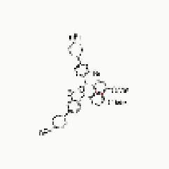 CCCC1CCC(c2ccc(C(OC(c3ccc(OC)cc3)c3ccc([C@H]4CC[C@H](CCC)CC4)cc3Br)c3ccc(OC)cc3)c(Br)c2)CC1